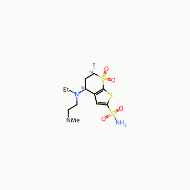 CCN(CCNC)[C@H]1C[C@H](C)S(=O)(=O)c2sc(S(N)(=O)=O)cc21